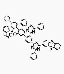 CC1(c2ccccc2)Oc2cc(-c3ccc(-c4nc(-c5ccccc5)nc(-c5ccc6c(c5)Sc5ccccc5S6)n4)cc3-c3nc(-c4ccccc4)nc(-c4ccccc4)n3)ccc2-c2ccc(C3CCCC3)cc21